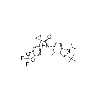 CC1C(NC(=O)C2(c3ccc4c(c3)OC(F)(F)O4)CC2)=CC=C2C1C=C(C(C)(C)C)N2C(C)C